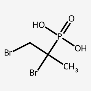 CC(Br)(CBr)P(=O)(O)O